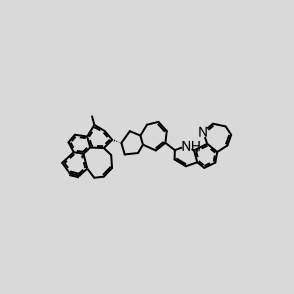 Cc1cc([C@H]2CCC3C=C(C4C=Cc5ccc6c(c5N4)N=CCC=C6)C=CCC3C2)c2c3c1ccc1cc#cc(c13)C/C=C\C2